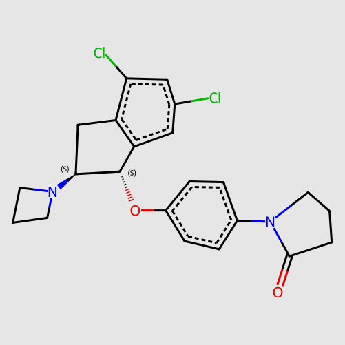 O=C1CCCN1c1ccc(O[C@H]2c3cc(Cl)cc(Cl)c3C[C@@H]2N2CCC2)cc1